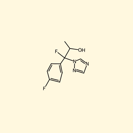 CC(O)C(F)(c1ccc(F)cc1)n1cncn1